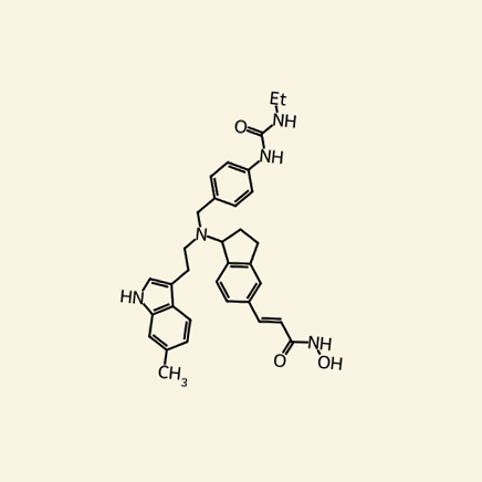 CCNC(=O)Nc1ccc(CN(CCc2c[nH]c3cc(C)ccc23)C2CCc3cc(C=CC(=O)NO)ccc32)cc1